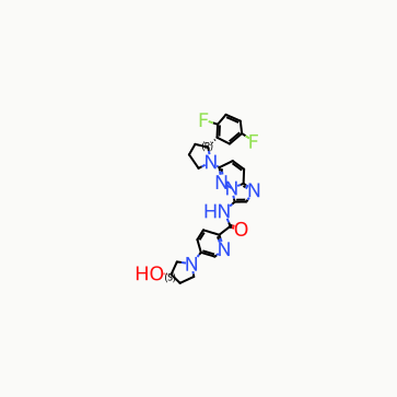 O=C(Nc1cnc2ccc(N3CCC[C@@H]3c3cc(F)ccc3F)nn12)c1ccc(N2CC[C@H](O)C2)cn1